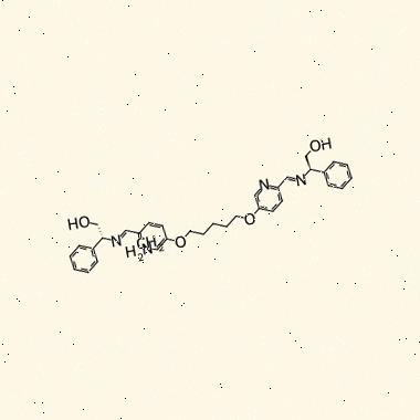 C=C(/C=C\C(=C/N)OCCCCCOc1ccc(/C=N/[C@@H](CO)c2ccccc2)nc1)/C=N/[C@@H](CO)c1ccccc1